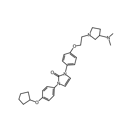 CN(C)C1CCN(CCOc2ccc(-n3ccn(-c4ccc(OC5CCCC5)cc4)c3=O)cc2)C1